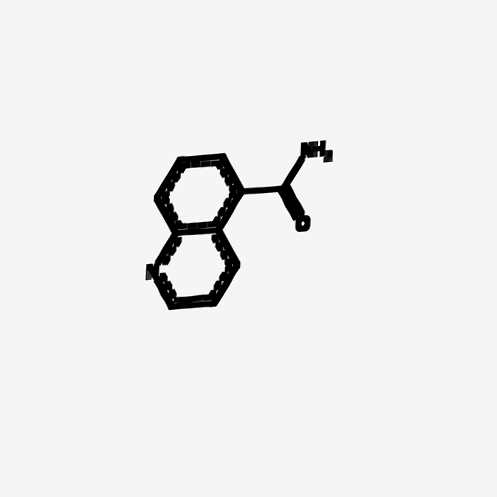 NC(=O)c1cccc2ncccc12